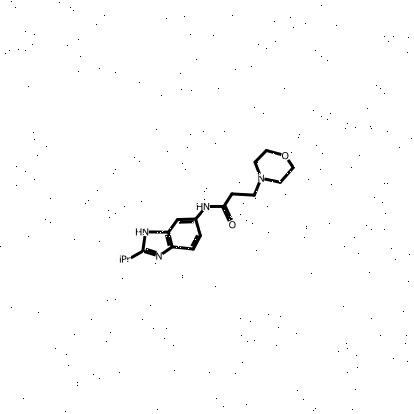 CC(C)c1nc2ccc(NC(=O)CCN3CCOCC3)cc2[nH]1